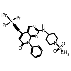 CC(C)[Si](C#Cc1cc(=O)n(-c2ccccc2)c2nc(NC3CCN(S(C)(=O)=O)CC3)ncc12)(C(C)C)C(C)C